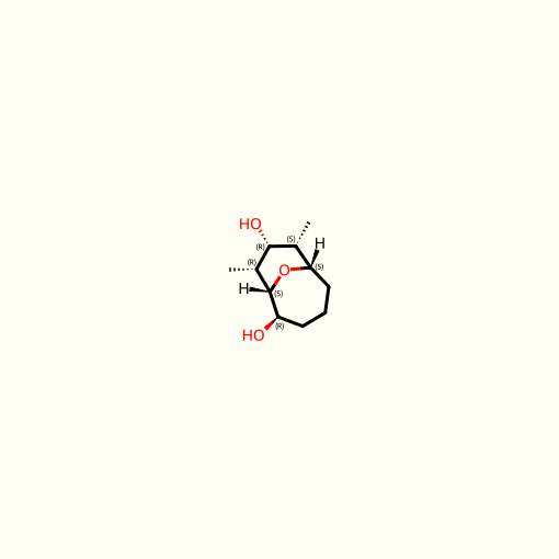 C[C@@H]1[C@H](O)[C@H](C)[C@@H]2CCC[C@@H](O)[C@H]1O2